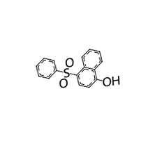 O=S(=O)(c1ccccc1)c1ccc(O)c2ccccc12